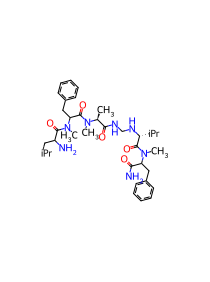 CC(C)CC(N)C(=O)N(C)C(Cc1ccccc1)C(=O)N(C)[C@@H](C)C(=O)NCN[C@@H](C(=O)N(C)C(Cc1ccccc1)C(N)=O)C(C)C